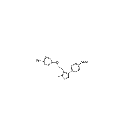 CSc1ccc(-c2ccc(C)n2CCOc2ccc(C(C)C)cc2)cc1